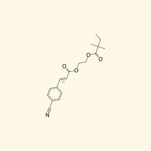 CCC(C)(C)C(=O)OCCOC(=O)/C=C/c1ccc(C#N)cc1